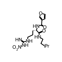 CC(C)CCNC(=O)[C@H](CCCNC(=N)N[N+](=O)[O-])NC(=O)c1ccoc1